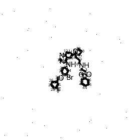 O=S(=O)(CCNCCCC1(c2ccc3ncnc(Nc4ccc(OCc5cccc(F)c5)c(Br)c4)c3c2)CC=CO1)c1ccccc1